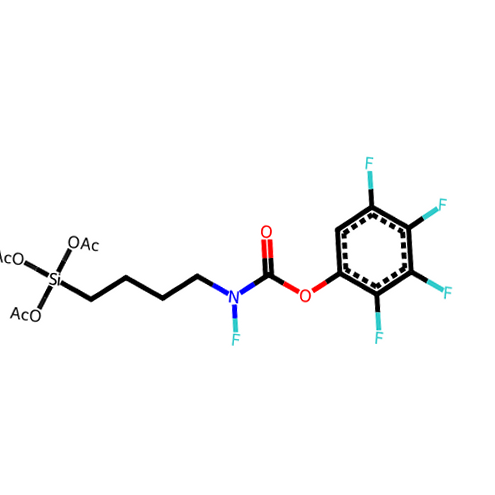 CC(=O)O[Si](CCCCN(F)C(=O)Oc1cc(F)c(F)c(F)c1F)(OC(C)=O)OC(C)=O